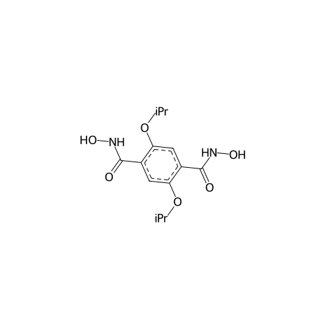 CC(C)Oc1cc(C(=O)NO)c(OC(C)C)cc1C(=O)NO